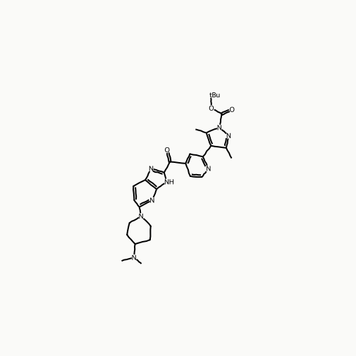 Cc1nn(C(=O)OC(C)(C)C)c(C)c1-c1cc(C(=O)c2nc3ccc(N4CCC(N(C)C)CC4)nc3[nH]2)ccn1